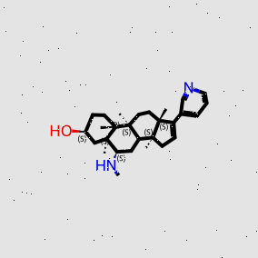 CN[C@H]1CC2[C@](C)(CC[C@]3(C)C(c4cccnc4)=CC[C@@]23C)[C@@]2(C)CC[C@H](O)C[C@]12C